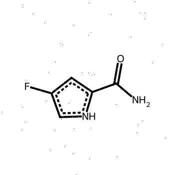 NC(=O)c1cc(F)c[nH]1